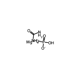 NC(N)=O.O=P([O-])([O-])O.[Mg+2]